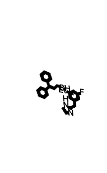 BCC=C(c1ccccc1)c1ccccc1.CCc1cc(F)cc(Cc2ncc[nH]2)c1